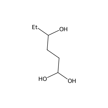 [CH2]CC(O)CCC(O)O